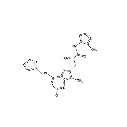 Cc1c(C[C@@H](N)C(=O)Nc2ccnn2C)sc2c(NCc3ccco3)cc(Cl)nc12